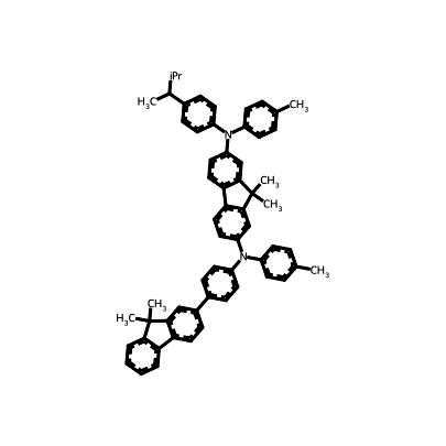 Cc1ccc(N(c2ccc(-c3ccc4c(c3)C(C)(C)c3ccccc3-4)cc2)c2ccc3c(c2)C(C)(C)c2cc(N(c4ccc(C)cc4)c4ccc(C(C)C(C)C)cc4)ccc2-3)cc1